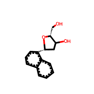 OC[C@H]1O[C@@H](c2cccc3ccccc23)CC1O